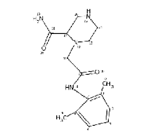 Cc1cccc(C)c1NC(=O)CN1CCNCC1C(N)=O